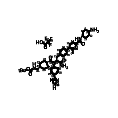 Cc1nc(C(=O)N[C@H]2CC[C@H](N)CC2)ccc1-c1ccc(C[C@@H](C(N)=O)N(c2ccc(-c3nn[nH]n3)cc2)C(=O)[C@H]2CC[C@H](CNC(=O)OC(C)(C)C)CC2)cc1.O=C(O)C(F)(F)F